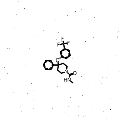 CNC(=O)N1CCC(Oc2cccc(C(F)(F)F)c2)(c2ccccc2)CC1